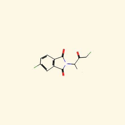 CC(C(=O)CBr)N1C(=O)c2ccc(Br)cc2C1=O